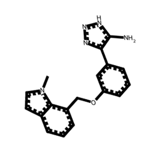 Cn1ccc2cccc(COc3cccc(-c4nn[nH]c4N)c3)c21